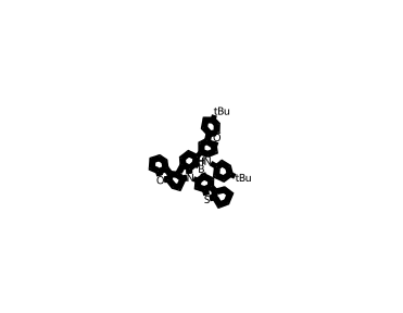 CC(C)(C)c1ccc(Nc2cc3oc4cc(C(C)(C)C)ccc4c3cc2-c2ccc3c4c5c(ccc4n4c3c2Bc2cc3c(cc2-4)sc2ccccc23)oc2ccccc25)cc1